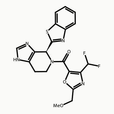 COCc1nc(C(F)F)c(C(=O)N2CCc3[nH]cnc3[C@H]2c2nc3ccccc3s2)o1